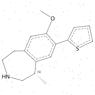 COc1cc2c(cc1-c1cccs1)[C@H](C)CNCC2